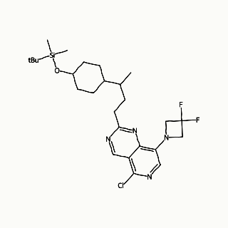 CC(CCc1ncc2c(Cl)ncc(N3CC(F)(F)C3)c2n1)C1CCC(O[Si](C)(C)C(C)(C)C)CC1